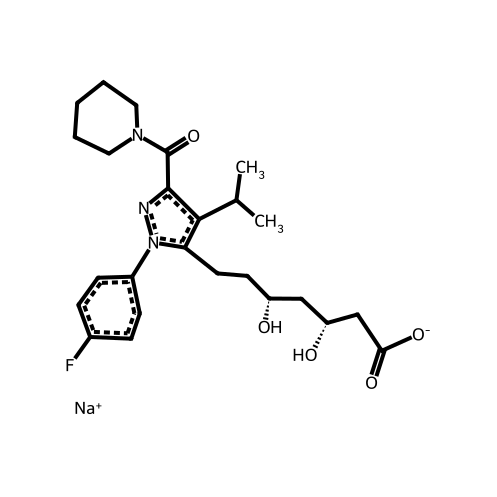 CC(C)c1c(C(=O)N2CCCCC2)nn(-c2ccc(F)cc2)c1CC[C@@H](O)C[C@@H](O)CC(=O)[O-].[Na+]